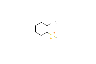 CCS(=O)(=O)C1C[CH]CCC1OC